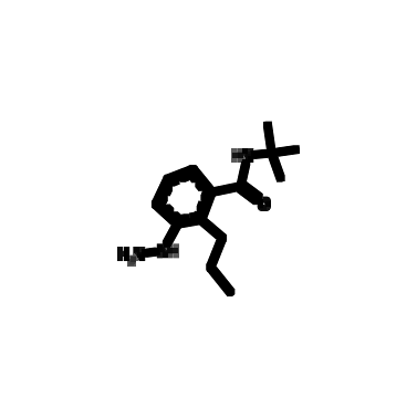 CCCc1c(NN)cccc1C(=O)NC(C)(C)C